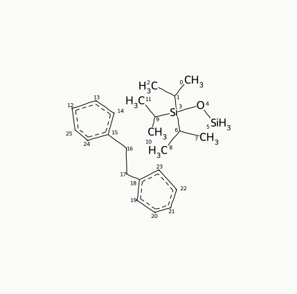 CC(C)[Si](O[SiH3])(C(C)C)C(C)C.c1ccc(CCc2ccccc2)cc1